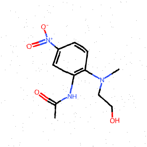 CC(=O)Nc1cc([N+](=O)[O-])ccc1N(C)CCO